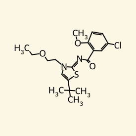 CCOCCn1cc(C(C)(C)C)sc1=NC(=O)c1cc(Cl)ccc1OC